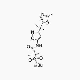 CC[C@H](C)S(=O)(=O)C(C)(C)C(=O)Nc1cc(C(C)(C)c2cnc(C)o2)no1